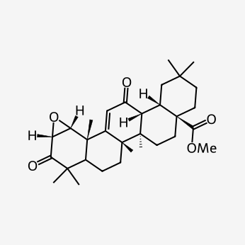 COC(=O)[C@]12CCC(C)(C)C[C@H]1[C@H]1C(=O)C=C3[C@]4(C)C(CC[C@@]3(C)[C@]1(C)CC2)C(C)(C)C(=O)[C@@H]1O[C@@H]14